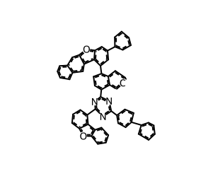 c1ccc(-c2ccc(-c3nc(-c4ccc(-c5cc(-c6ccccc6)cc6oc7cc8ccccc8cc7c56)c5ccccc45)nc(-c4cccc5oc6ccccc6c45)n3)cc2)cc1